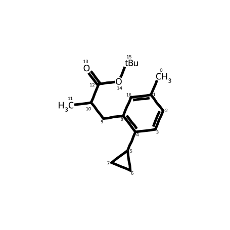 Cc1ccc(C2CC2)c(CC(C)C(=O)OC(C)(C)C)c1